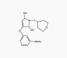 CC(=O)Nc1cccc(OC2=CC(O)N(CC3CCOCC3)C2O)c1